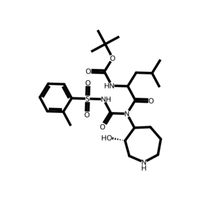 Cc1ccccc1S(=O)(=O)NC(=O)N(C(=O)C(CC(C)C)NC(=O)OC(C)(C)C)C1CCCNC[C@@H]1O